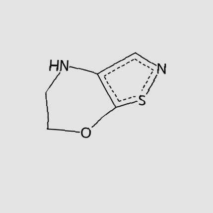 c1nsc2c1NCCO2